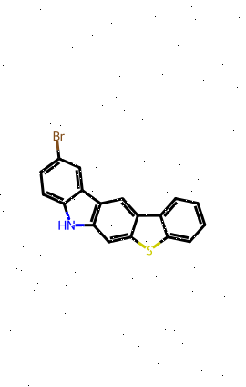 Brc1ccc2[nH]c3cc4sc5ccccc5c4cc3c2c1